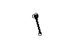 O=CCCCCCCCCCCCN1CCOC1=O